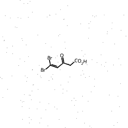 O=C(O)CC(=O)C=C(Br)Br